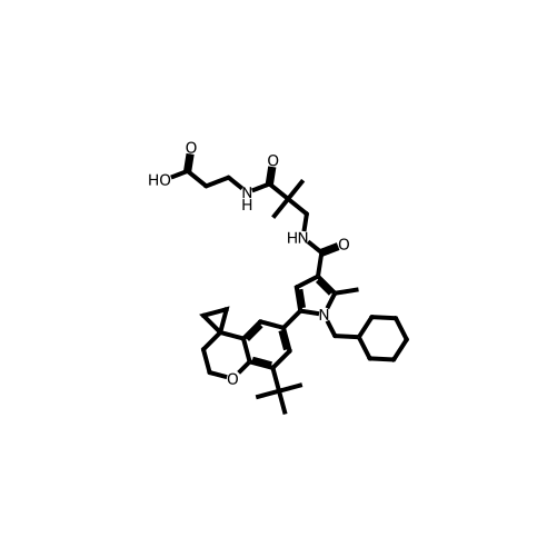 Cc1c(C(=O)NCC(C)(C)C(=O)NCCC(=O)O)cc(-c2cc(C(C)(C)C)c3c(c2)C2(CCO3)CC2)n1CC1CCCCC1